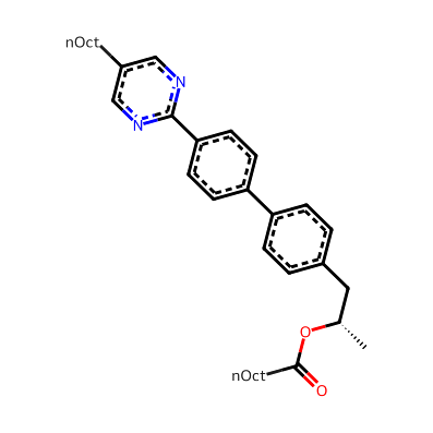 CCCCCCCCC(=O)O[C@@H](C)Cc1ccc(-c2ccc(-c3ncc(CCCCCCCC)cn3)cc2)cc1